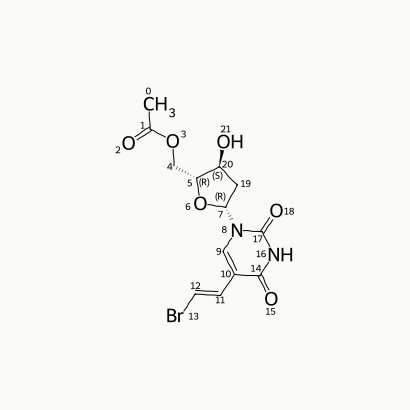 CC(=O)OC[C@H]1O[C@@H](n2cc(C=CBr)c(=O)[nH]c2=O)C[C@@H]1O